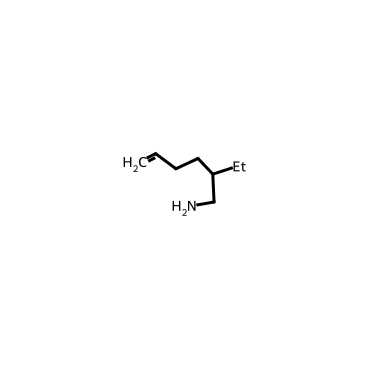 C=CCCC(CC)CN